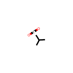 CC(C)C.O=C=O